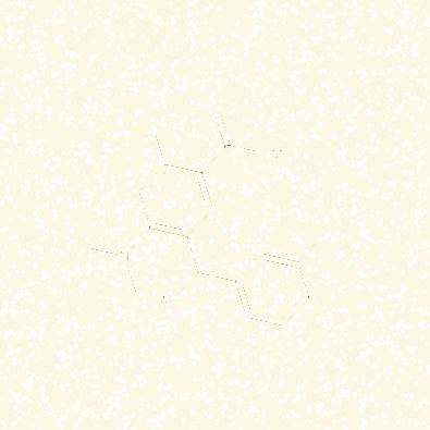 COC(=O)c1cc(C(C(C)=O)c2cccc(C(F)(F)F)c2)c(N(C)C)cc1O